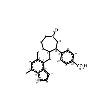 CCN1CCCC(Cc2c(C)cc(C)c3[nH]ccc23)C(c2ccc(C(=O)O)cc2)C1